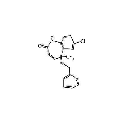 O=C1N=CC(OCc2ccccc2)(C(F)(F)F)c2cc(Cl)ccc2N1